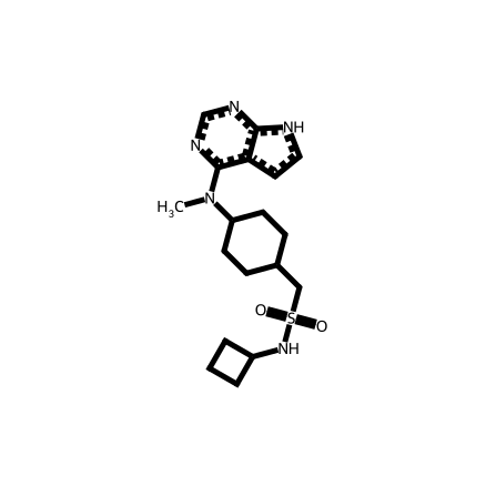 CN(c1ncnc2[nH]ccc12)C1CCC(CS(=O)(=O)NC2CCC2)CC1